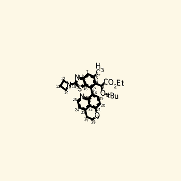 CCOC(=O)C(OC(C)(C)C)c1c(C)cc2nc(N3CCC3)sc2c1-c1ccc2c3c(ccnc13)CCO2